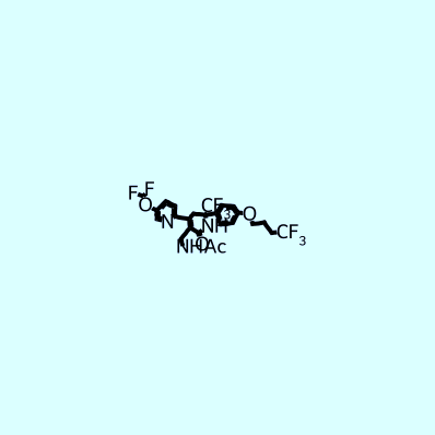 CC(=O)NCC1=C(c2ccc(OC(F)F)cn2)C[C@](c2ccc(OCCCC(F)(F)F)cc2)(C(F)(F)F)NC1=O